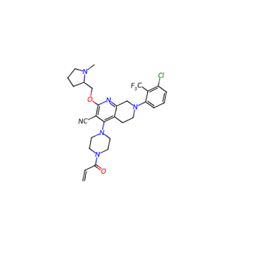 C=CC(=O)N1CCN(c2c(C#N)c(OCC3CCCN3C)nc3c2CCN(c2cccc(Cl)c2C(F)(F)F)C3)CC1